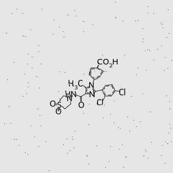 Cc1c(C(=O)NN2CCS(=O)(=O)CC2)nc(-c2ccc(Cl)cc2Cl)n1-c1ccc(C(=O)O)cc1